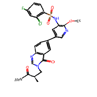 CCOc1ncc(-c2ccc3ncn(C[C@@H](C)C(=O)NC)c(=O)c3c2)cc1NS(=O)(=O)c1ccc(F)cc1Cl